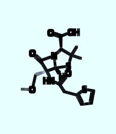 COC[C@]1(NC(=O)Cc2cccs2)C(=O)N2[C@@H](C(=O)O)C(C)(C)S[C@@H]21